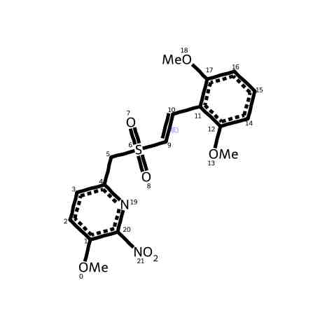 COc1ccc(CS(=O)(=O)/C=C/c2c(OC)cccc2OC)nc1[N+](=O)[O-]